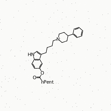 CCCCCC(=O)Oc1ccc2[nH]cc(CCCCN3CCC(c4ccccc4)CC3)c2c1